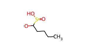 CCCCC([O])S(=O)O